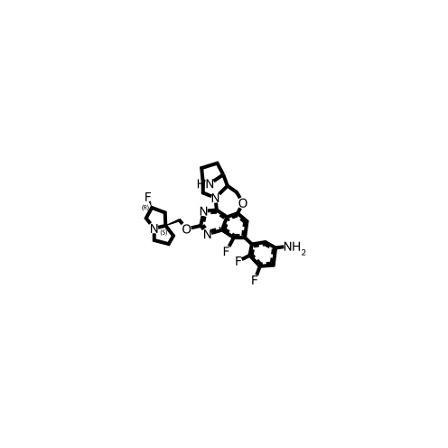 Nc1cc(F)c(F)c(-c2cc3c4c(nc(OC[C@@]56CCCN5C[C@H](F)C6)nc4c2F)N2CC4CCC(N4)C2CO3)c1